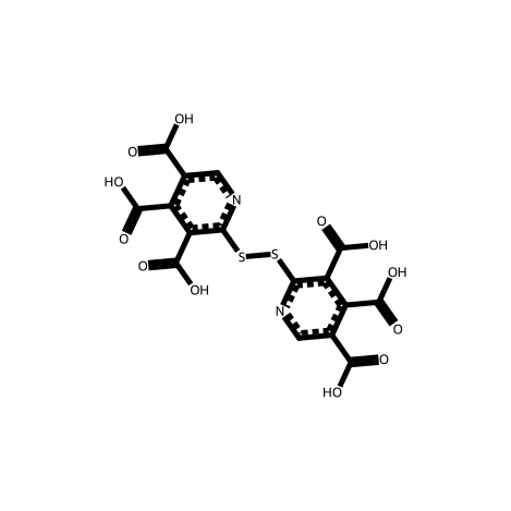 O=C(O)c1cnc(SSc2ncc(C(=O)O)c(C(=O)O)c2C(=O)O)c(C(=O)O)c1C(=O)O